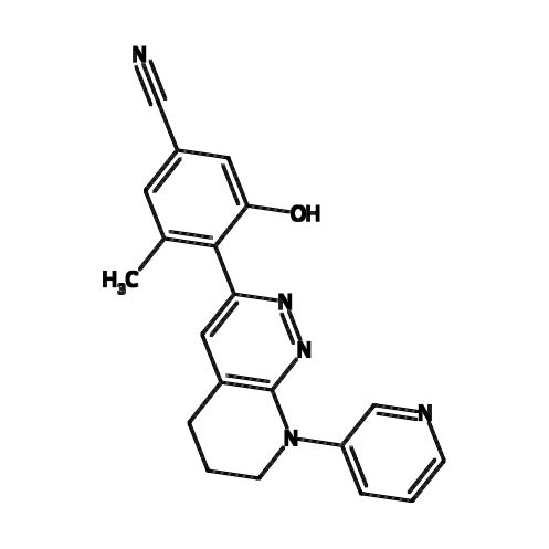 Cc1cc(C#N)cc(O)c1-c1cc2c(nn1)N(c1cccnc1)CCC2